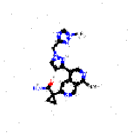 CNc1ncc(-c2ccn(Cc3ncn(C)n3)n2)c2cc(C3(C(N)=O)CC3)ncc12